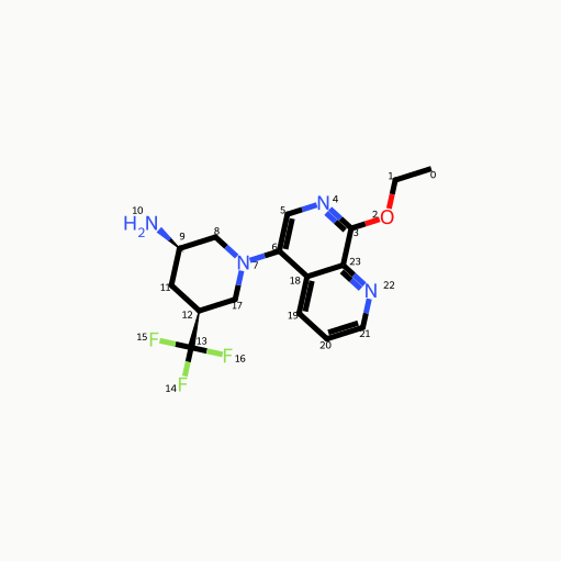 CCOc1ncc(N2C[C@H](N)C[C@H](C(F)(F)F)C2)c2cccnc12